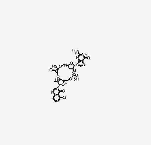 CC1[C@H](n2cnc3cccc(Cl)c3c2=O)O[C@@H]2COP(=O)(S)O[C@H]3C[C@@H](COC4(S)C(=O)C4O[C@@H]12)O[C@H]3n1cnc2c(=O)[nH]c(N)nc21